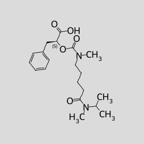 CC(C)N(C)C(=O)CCCCN(C)C(=O)O[C@@H](Cc1ccccc1)C(=O)O